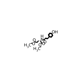 CCOC(=O)CC[C@H](NC(=O)/C=C/c1ccc(O)cc1)C(=O)OCC